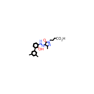 CC1=NN(CCCC(=O)O)C(=O)/C1=N\Nc1cccc(-c2cc(C)cc(C)c2)c1O